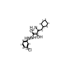 N[C@H](CC1CCCCC1)C(O)C(=O)NNc1cccc(Cl)c1